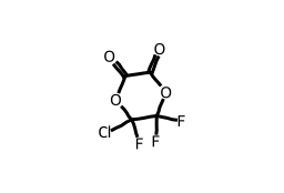 O=C1OC(F)(F)C(F)(Cl)OC1=O